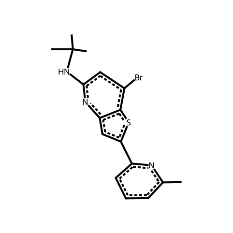 Cc1cccc(-c2cc3nc(NC(C)(C)C)cc(Br)c3s2)n1